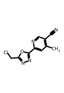 Cc1cc(-c2nnc(CCl)o2)ncc1C#N